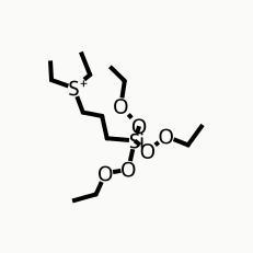 CCOO[Si](CCC[S+](CC)CC)(OOCC)OOCC